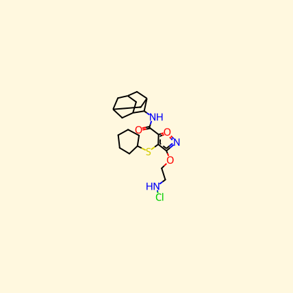 O=C(NC1C2CC3CC(C2)CC1C3)c1onc(OCCNCl)c1SC1CCCCC1